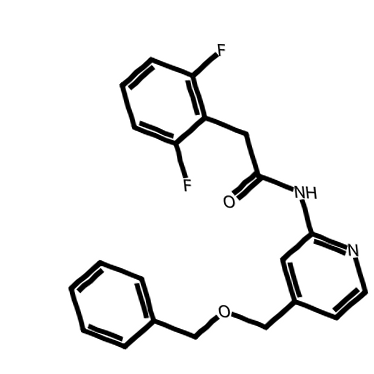 O=C(Cc1c(F)cccc1F)Nc1cc(COCc2ccccc2)ccn1